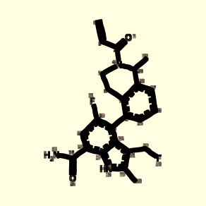 C=CC(=O)N1CCc2c(-c3c(F)cc(C(N)=O)c4[nH]c(C)c(CF)c34)cccc2C1C